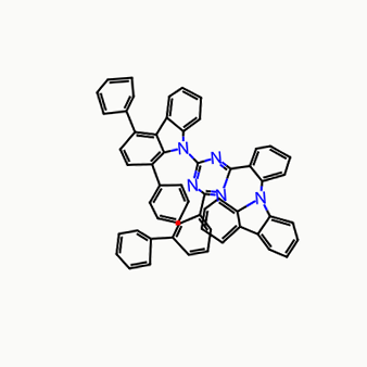 c1ccc(-c2cccc(-c3nc(-c4ccccc4-n4c5ccccc5c5ccccc54)nc(-n4c5ccccc5c5c(-c6ccccc6)ccc(-c6ccccc6)c54)n3)c2)cc1